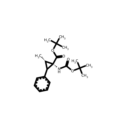 C[C@H]1C(c2ccccc2)[C@]1(NC(=O)OC(C)(C)C)C(=O)OC(C)(C)C